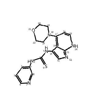 S=C(Nc1cccnc1)Nc1cnc2[nH]ccc(N3CCOCC3)c1-2